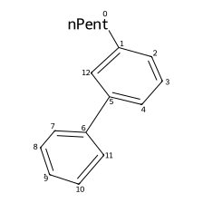 CCCCCc1cccc(-c2cc[c]cc2)c1